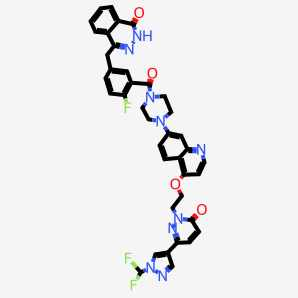 O=C(c1cc(Cc2n[nH]c(=O)c3ccccc23)ccc1F)N1CCN(c2ccc3c(OCCn4nc(-c5cnn(C(F)F)c5)ccc4=O)ccnc3c2)CC1